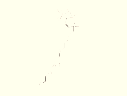 CC1(CCOCCOCCNCOCC=O)C=CC(S(=O)(=O)O)C(C)(C)C1